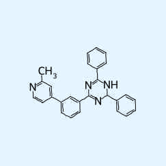 Cc1cc(-c2cccc(C3=NC(c4ccccc4)NC(c4ccccc4)=N3)c2)ccn1